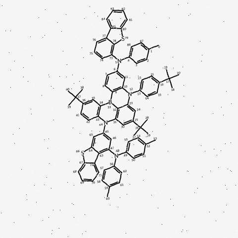 Cc1ccc(N(c2ccc3c(c2)N(c2ccc(C(C)(C)C)cc2)c2cc(C(C)(C)C)cc4c2B3c2cc(C(C)(C)C)ccc2N4c2cc(N(c3ccc(C)cc3)c3ccc(C)cc3)c3c(c2)sc2ccccc23)c2cccc3c2sc2ccccc23)cc1